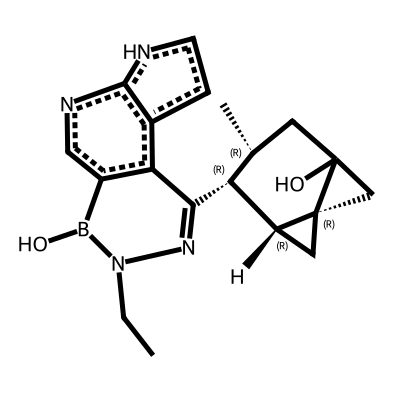 CCN1N=C([C@@H]2[C@H](C)CC3(O)C[C@@]34C[C@H]24)c2c(cnc3[nH]ccc23)B1O